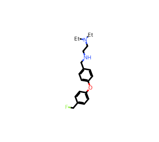 CCN(CC)CCNCc1ccc(Oc2ccc(CF)cc2)cc1